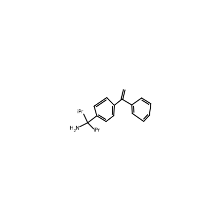 C=C(c1ccccc1)c1ccc(C(N)(C(C)C)C(C)C)cc1